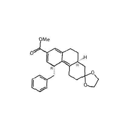 COC(=O)C1=C[C@@H](Cc2ccccc2)C2=C3CCC4(C[C@@H]3CCC2=C1)OCCO4